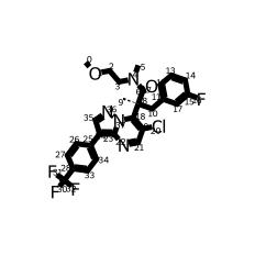 COCCN(C)C(=O)[C@@](C)(Cc1cccc(F)c1)c1c(Cl)cnc2c(-c3ccc(C(F)(F)F)cc3)cnn12